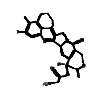 CC[C@@]1(OC(=O)CN)C(=O)OCc2c1cc1n(c2=O)Cc2c-1nc1cc(F)c(C)c3c1c2CCC3